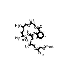 CCCCOC(C)COC(C)COC(C)COC(=O)c1ccccc1OC(C)COC(C)COC(C)COC(C)CCC